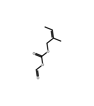 CC=C(C)COC(=O)O[C]=O